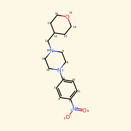 O=[N+]([O-])c1ccc(N2CCN(CC3CCOCC3)CC2)cc1